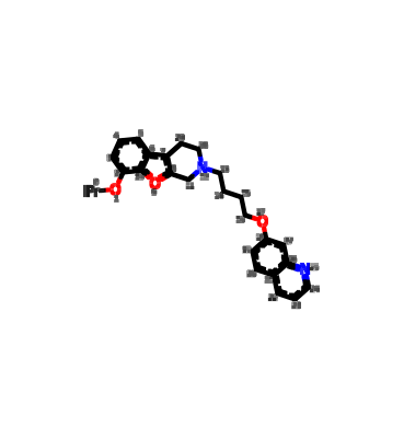 CC(C)Oc1cccc2c3c(oc12)CN(CCCCOc1ccc2cccnc2c1)CC3